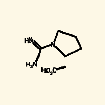 CC(=O)O.N=C(N)N1CCCC1